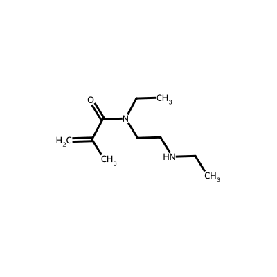 C=C(C)C(=O)N(CC)CCNCC